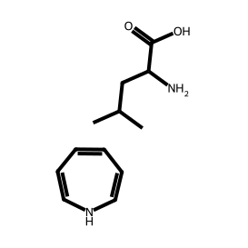 C1=CC=CNC=C1.CC(C)CC(N)C(=O)O